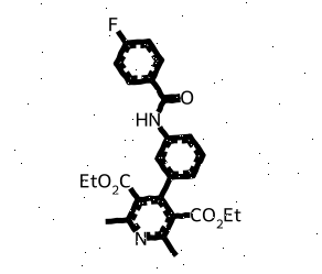 CCOC(=O)c1c(C)nc(C)c(C(=O)OCC)c1-c1cccc(NC(=O)c2ccc(F)cc2)c1